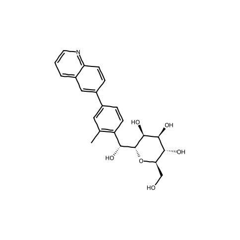 Cc1cc(-c2ccc3ncccc3c2)ccc1[C@@H](O)[C@H]1O[C@H](CO)[C@@H](O)[C@H](O)[C@@H]1O